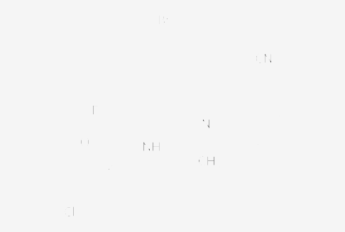 CN(c1cc(Br)cc(F)c1NC(=O)CCl)C1(CC#N)CC1